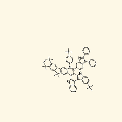 CC(C)(C)c1ccc(N2B3c4cc5nc(-c6ccccc6)n(-c6ccccc6)c5cc4-n4c5ccc(C(C)(C)C)cc5c5c6c(oc7ccccc76)c(c3c54)-c3cc4c(cc32)-c2cc3c(cc2C4(C)C)C(C)(C)CCC3(C)C)cc1